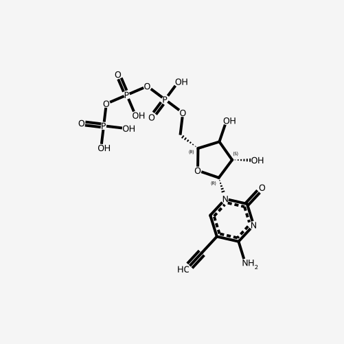 C#Cc1cn([C@@H]2O[C@H](COP(=O)(O)OP(=O)(O)OP(=O)(O)O)C(O)[C@@H]2O)c(=O)nc1N